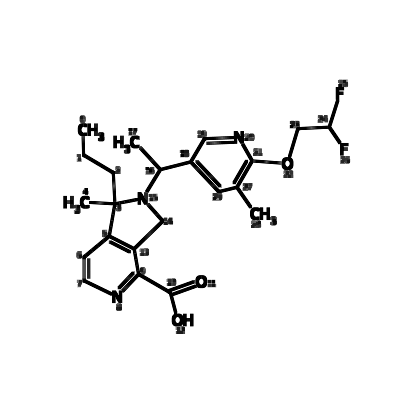 CCCC1(C)c2ccnc(C(=O)O)c2CN1C(C)c1cnc(OCC(F)F)c(C)c1